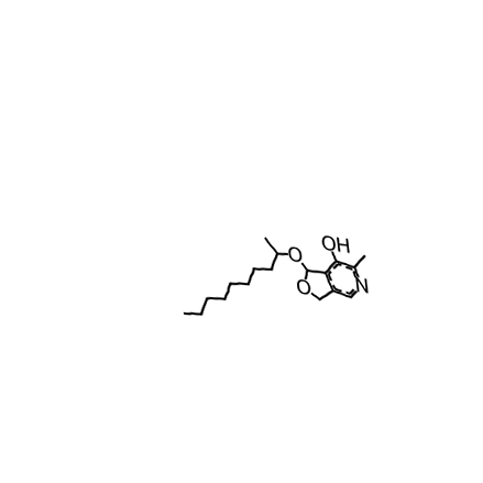 CCCCCCCCC(C)OC1OCc2cnc(C)c(O)c21